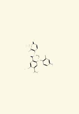 Cc1cc(F)ccc1N1CN(c2ccc(=O)[nH]c2C)C(=O)c2cc(Cl)c(C(F)F)cc21